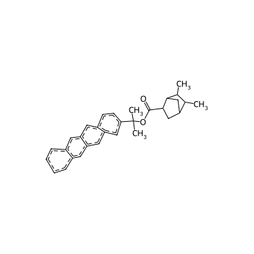 CC1C2CC(C(=O)OC(C)(C)c3ccc4cc5cc6ccccc6cc5cc4c3)C(C2)C1C